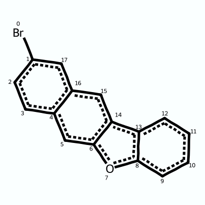 Brc1ccc2cc3oc4ccccc4c3cc2c1